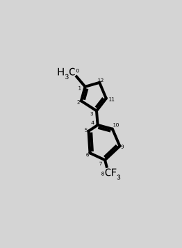 CC1=CC(c2ccc(C(F)(F)F)cc2)=CC1